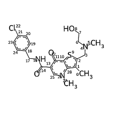 Cc1c(CN(C)CCO)sc2c(=O)c(C(=O)NCc3ccc(Cl)cc3)cn(C)c12